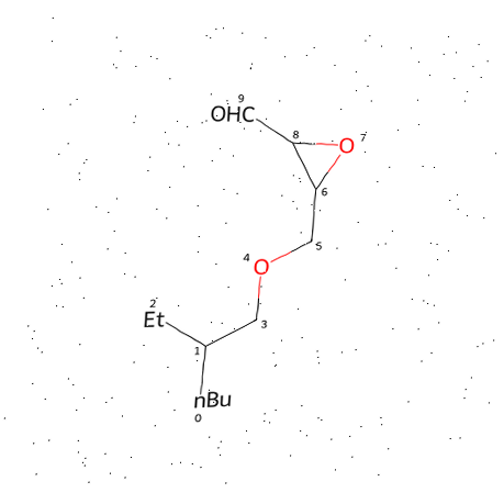 CCCCC(CC)COCC1OC1C=O